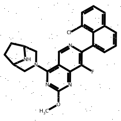 COc1nc(N2CC3CCC(C2)N3)c2cnc(-c3cccc4cccc(Cl)c34)c(F)c2n1